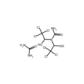 NC(=O)N(C(O)C(Cl)(Cl)Cl)C(O)C(Cl)(Cl)Cl.NC(N)=O